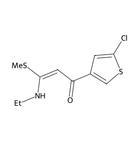 CCN/C(=C\C(=O)c1csc(Cl)c1)SC